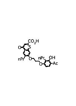 CCCc1cc2c(=O)cc(C(=O)O)sc2cc1OCCCOc1ccc(C(C)=O)c(O)c1CCC